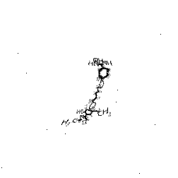 CCc1cc(-c2csc(C)n2)c(O)cc1OCCCCCOc1ccc(C(=N)NO)cc1